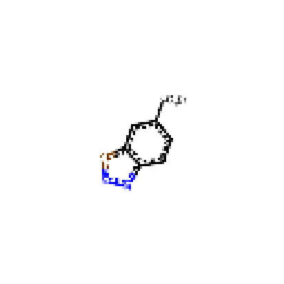 CCOC(=O)c1ccc2nnsc2c1